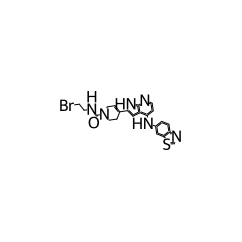 O=C(NCCBr)N1CC=C(c2cc3c(Nc4ccc5ncsc5c4)ccnc3[nH]2)CC1